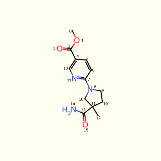 COC(=O)c1ccc(N2CCC(C)(C(N)=O)C2)nc1